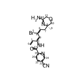 C=C/C(=C\C(Br)=C/C[C@]1(C)COCC(N)=N1)NC(=O)c1ccc(C#N)cn1